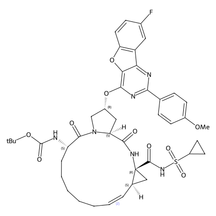 COc1ccc(-c2nc(O[C@@H]3C[C@H]4C(=O)N[C@]5(C(=O)NS(=O)(=O)C6CC6)C[C@H]5/C=C\CCCCC[C@H](NC(=O)OC(C)(C)C)C(=O)N4C3)c3oc4ccc(F)cc4c3n2)cc1